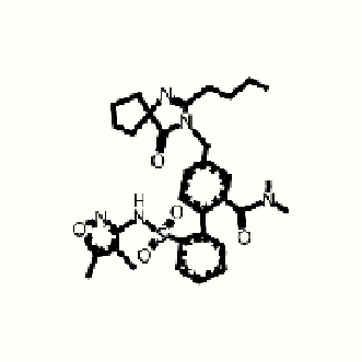 CCCCC1=NC2(CCCC2)C(=O)N1Cc1ccc(-c2ccccc2S(=O)(=O)Nc2noc(C)c2C)c(C(=O)N(C)C)c1